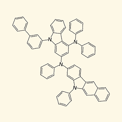 c1ccc(-c2cccc(-n3c4ccccc4c4c(N(c5ccccc5)c5ccccc5)cc(N(c5ccccc5)c5ccc6c7cc8ccccc8cc7n(-c7ccccc7)c6c5)cc43)c2)cc1